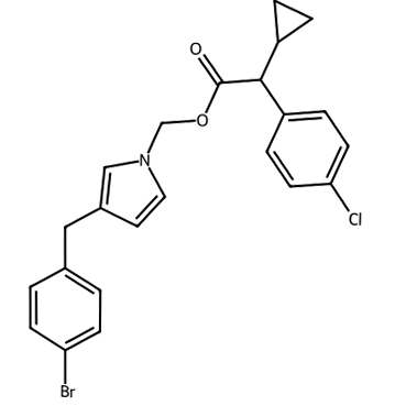 O=C(OCn1ccc(Cc2ccc(Br)cc2)c1)C(c1ccc(Cl)cc1)C1CC1